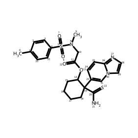 Cc1ccc(S(=O)(=O)N(C)CC(=O)OC2CCCCC2(C(N)=S)c2ccc3nccn3c2)cc1